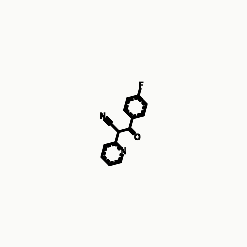 N#CC(C(=O)c1ccc(F)cc1)c1ccccn1